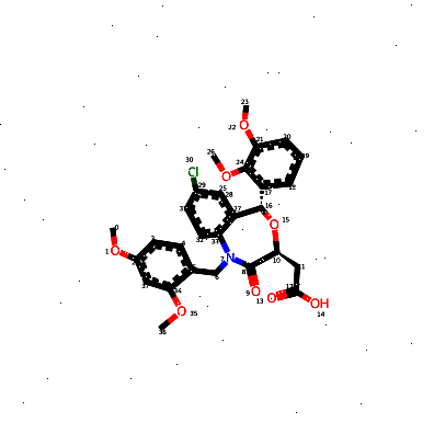 COc1ccc(CN2C(=O)[C@H](CC(=O)O)O[C@@H](c3cccc(OC)c3OC)c3cc(Cl)ccc32)c(OC)c1